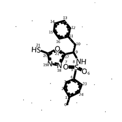 Cc1ccc(S(=O)(=O)NC(Cc2ccccc2)c2nnc(S)o2)cc1